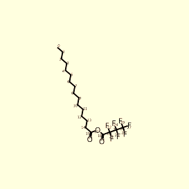 CCCCCCCCCCCCCCCC(=O)OC(=O)C(F)(F)C(F)(F)C(F)(F)F